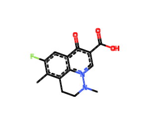 Cc1c(F)cc2c(=O)c(C(=O)O)cn3c2c1CCN3C